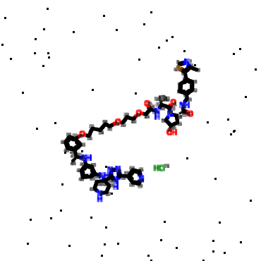 Cc1ncsc1-c1ccc(CNC(=O)[C@@H]2C[C@@H](O)CN2C(=O)[C@@H](NC(=O)COCCCOCCCCCOc2cccc([C@H](C)Nc3cccc(NC4(c5nnc(-c6ccncc6)[nH]5)CCNCC4)c3)c2)C(C)(C)C)cc1.Cl